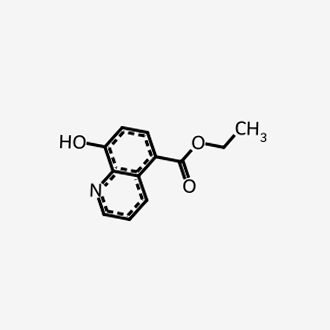 CCOC(=O)c1ccc(O)c2ncccc12